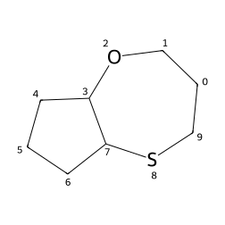 C1COC2CCCC2SC1